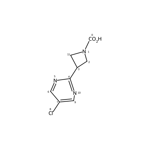 O=C(O)N1CC(c2ncc(Cl)cn2)C1